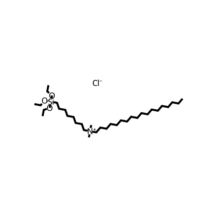 CCCCCCCCCCCCCCCCCC[N+](C)(C)CCCCCCCC[Si](OCC)(OCC)OCC.[Cl-]